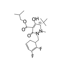 CC(C)COC(=O)C1=C(O)[C@H](C(C)(C)C)N(C)N(CC2CC=CC(F)=C2F)C1=O